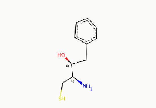 N[C@@H](CS)[C@@H](O)Cc1ccccc1